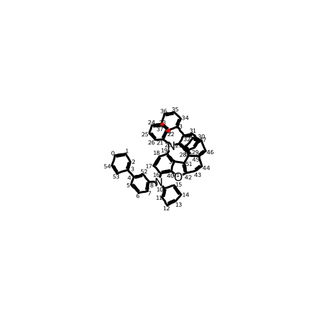 c1ccc(-c2cccc(N(c3ccccc3)c3ccc(N(c4ccccc4)c4ccccc4-c4ccccc4)c4c3oc3ccc5ccccc5c34)c2)cc1